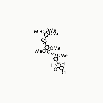 COc1cc(C2NC(=O)c3cc(Cl)ccc3N2)ccc1OCCOc1c(OC)cc(C2=NOC(c3cc(OC)c(OC)c(OC)c3)C2)cc1OC